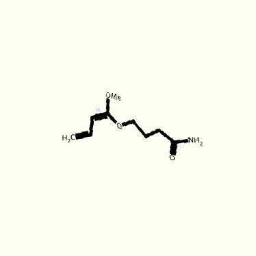 C=C/C=C(/OC)OCCCC(N)=O